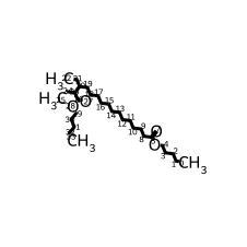 CCCCCOC(=O)CCCCCCCCCCCCC(CC)C(CC)C(=O)OCCCCC